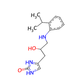 CC(C)c1ccccc1NCC(O)Cc1c[nH]c(=O)[nH]1